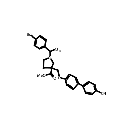 COC(=O)C1(COc2ccc(-c3ccc(C#N)cc3)cc2)CCN(C(c2ccc(Br)cc2)C(F)(F)F)C1